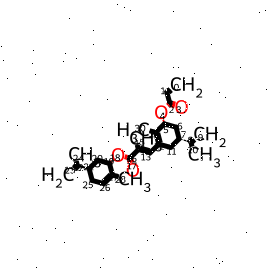 C=CC(=O)O[C@@H]1C[C@H](C(=C)C)CC(/C=C(\C)C(=O)O[C@@H]2C[C@H](C(=C)C)CC=C2C)=C1C